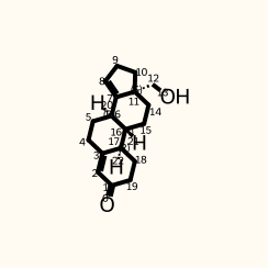 O=C1C=C2CC[C@H]3C4=CCC[C@@]4(CO)CC[C@@H]3[C@H]2CC1